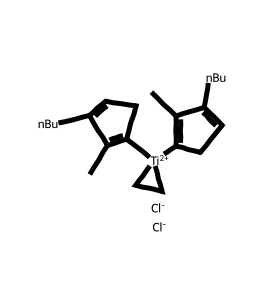 CCCCC1=CC[C]([Ti+2]2([C]3=C(C)C(CCCC)=CC3)[CH2][CH2]2)=C1C.[Cl-].[Cl-]